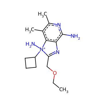 CCOCC1=Nc2c(N)nc(C)c(C)c2[N+]1(N)C1CCC1